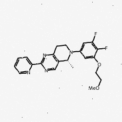 COCCOc1cc(N2CCc3nc(-c4ccccn4)ncc3[C@H]2C)cc(F)c1F